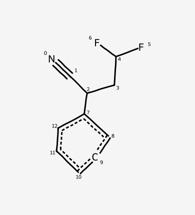 N#CC(CC(F)F)c1ccccc1